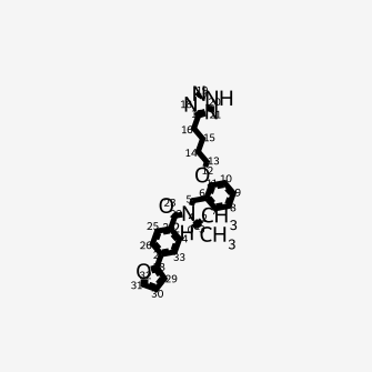 [2H]C(C)(C)N(Cc1ccccc1OCCCCc1nn[nH]n1)C(=O)c1ccc(-c2ccco2)cc1